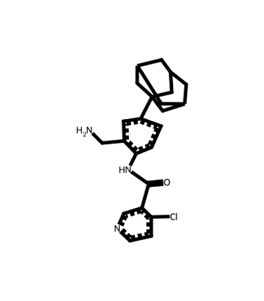 NCc1cc(C23CC4CC(CC(C4)C2)C3)ccc1NC(=O)c1cnccc1Cl